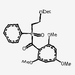 CCCCCCCCCCCCP(=O)(C(=O)c1c(OC)cc(OC)cc1OC)c1ccccc1